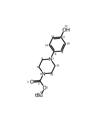 CC(C)(C)OC(=O)N1CCN(c2[c]cc(O)cc2)CC1